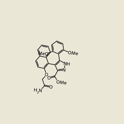 COC(=O)c1n[nH]c(-c2c(OC)cccc2OC)c1-c1c(OCC(N)=O)ccc2ccccc12